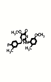 COc1ccc(C)c(Nc2nc(=O)c(OC)cn2Cc2ccc(F)c(C)c2)c1